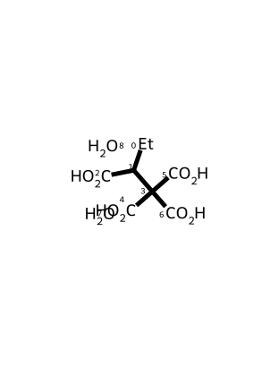 CCC(C(=O)O)C(C(=O)O)(C(=O)O)C(=O)O.O.O